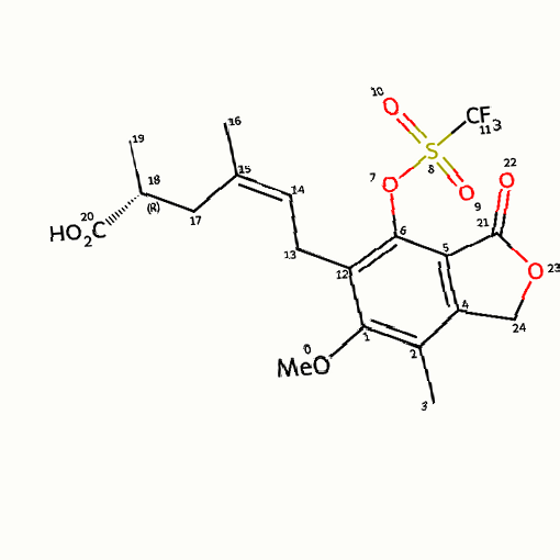 COc1c(C)c2c(c(OS(=O)(=O)C(F)(F)F)c1CC=C(C)C[C@@H](C)C(=O)O)C(=O)OC2